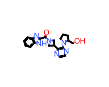 O=C(c1nc2ccccc2[nH]1)N1CC(c2nccnc2N2CCCC2CO)C1